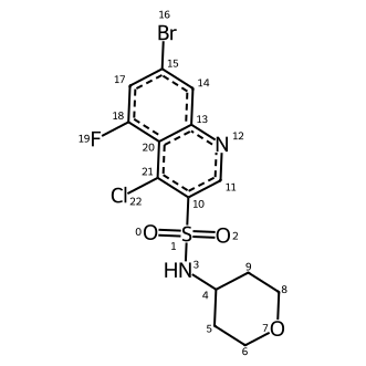 O=S(=O)(NC1CCOCC1)c1cnc2cc(Br)cc(F)c2c1Cl